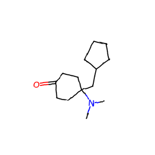 CN(C)C1(CC2CCCC2)CCC(=O)CC1